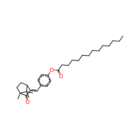 CCCCCCCCCCCCCC(=O)Oc1ccc(C=C2C(=O)C3(C)CCC2C3(C)C)cc1